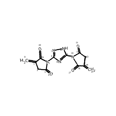 C=C1CC(=O)N(c2n[nH]c(N3C(=O)CC(=C)C3=O)n2)C1=O